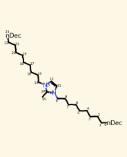 CCCCCCCCCCCCCCCCCCCN1C=CN(CCCCCCCCCCCCCCCCCCC)C1C